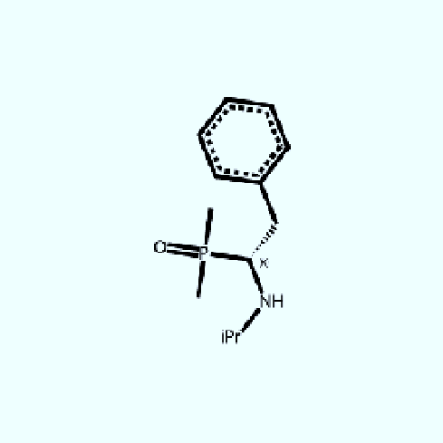 CC(C)N[C@@H](Cc1ccccc1)P(C)(C)=O